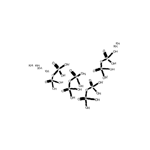 O=P(O)(O)OP(=O)(O)O.O=P(O)(O)OP(=O)(O)O.O=P(O)(O)OP(=O)(O)O.O=P(O)(O)OP(=O)(O)O.[KH].[KH].[KH].[KH].[KH].[KH]